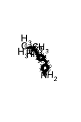 CCCC(C)(C)C(=O)Nc1ccc(Cc2ccc(N)cc2)cc1